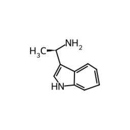 C[C@@H](N)c1c[nH]c2ccccc12